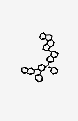 c1ccc(-c2cc(N(c3ccccc3)c3ccc4c(-c5cccc6c5ccc5ccc7ccccc7c56)cccc4c3)ccc2-c2ccc3ccccc3c2)cc1